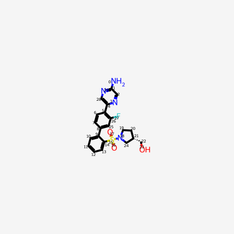 Nc1cnc(-c2ccc(-c3ccccc3S(=O)(=O)N3CC[C@H](CO)C3)cc2F)cn1